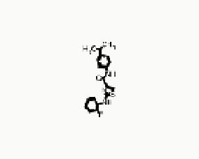 CC(C)c1ccc(NC(=O)c2csc(Nc3ccccc3F)n2)cc1